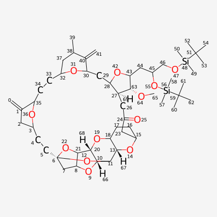 C=C1CC2CC[C@@]34CC5O[C@H]6C(O3)[C@H]3OC(CCC3O[C@H]6C5O4)CC(=O)C[C@H]3C(CC4OC(CCC1O2)CC(C)C4=C)OC(CC(CO[Si](C)(C)C(C)(C)C)O[Si](C)(C)C(C)(C)C)[C@@H]3OC